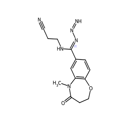 CN1C(=O)CCOc2ccc(/C(=N/N=N)NCCC#N)cc21